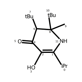 CC(C)C1=C(O)C(=O)C(C(C)(C)C)C(C)(C(C)(C)C)N1